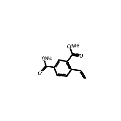 C=Cc1ccc(C(=O)OC)cc1C(=O)OC